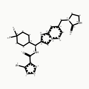 CC(C)c1nonc1C(=O)N[C@H](c1cn2ncc(CN3CCNC3=O)cc2n1)C1CCC(F)(F)CC1